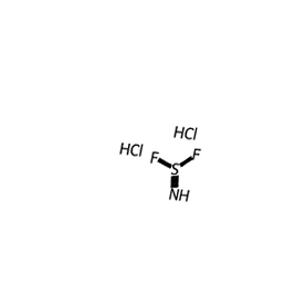 Cl.Cl.N=S(F)F